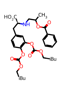 CCC(C)COC(=O)Oc1ccc(C[C@H](NCC(C)OC(=O)c2ccccc2)C(=O)O)cc1OC(=O)OCC(C)CC